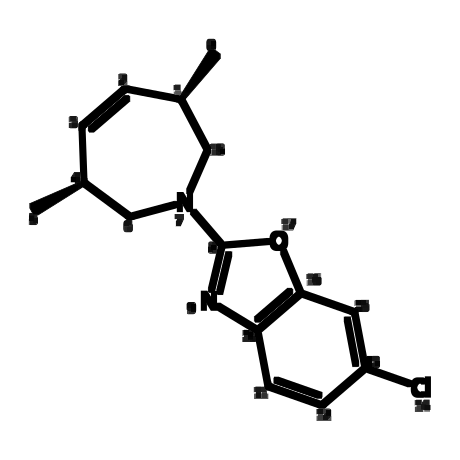 C[C@@H]1C=C[C@H](C)CN(c2nc3ccc(Cl)cc3o2)C1